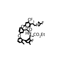 CCOC(=O)C[C@@H]1NC(=O)[C@@H](n2cc(CCN3CC(F)C3)c(C(F)(F)F)cc2=O)c2cccc(c2)Oc2cccc(C)c2-c2cc(C)c(F)c1c2